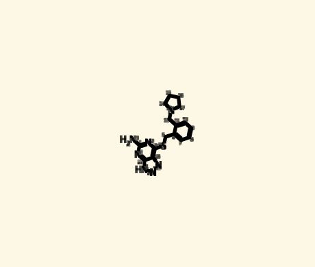 Nc1nc(SCc2ccccc2CN2CCCC2)c2nn[nH]c2n1